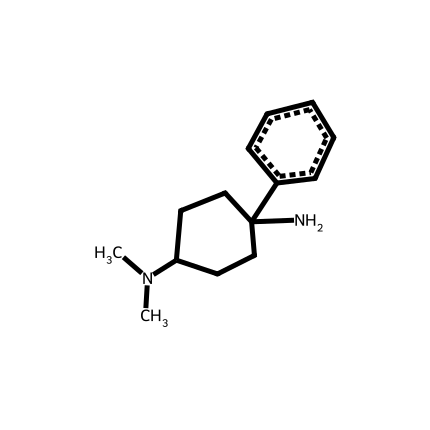 CN(C)C1CCC(N)(c2ccccc2)CC1